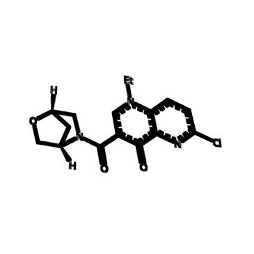 CCn1cc(C(=O)N2C[C@@H]3C[C@H]2CO3)c(=O)c2nc(Cl)ccc21